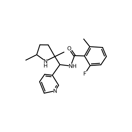 Cc1cccc(F)c1C(=O)NC(c1cccnc1)C1(C)CCC(C)N1